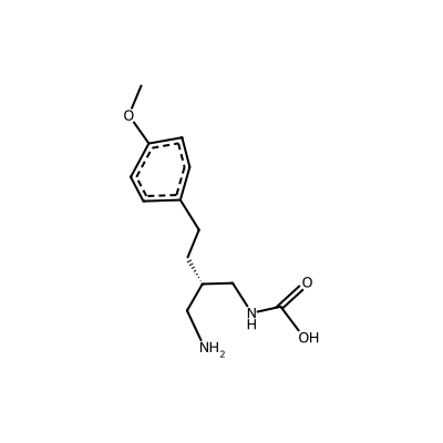 COc1ccc(CC[C@@H](CN)CNC(=O)O)cc1